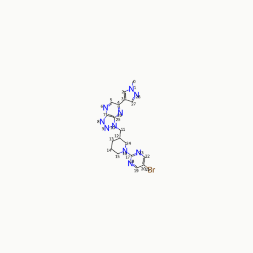 Cn1cc(-c2cnc3nnn(CC4CCCN(c5ncc(Br)cn5)C4)c3n2)cn1